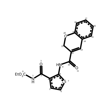 CCOC(=O)NC(=O)c1ccsc1NC(=O)C1=Cc2ccccc2OC1